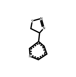 c1cncc(C2CSN=N2)c1